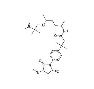 CBC(C)(C)COC(C)CCC(C)NC(=O)CC(C)(C)c1ccc(N2C(=O)CC(SC)C2=O)cc1